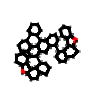 c1ccc(-c2ccccc2-c2c3cccc(-c4cccc5ccc6oc7ccccc7c6c45)c3cc3c(-c4cccc5ccc6oc7ccccc7c6c45)cccc23)cc1